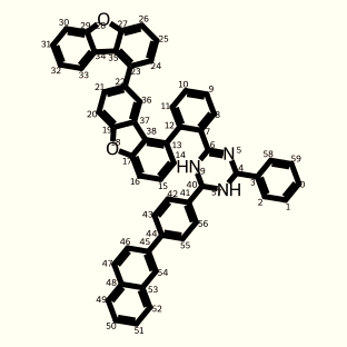 c1ccc(C2N=C(c3ccccc3-c3cccc4oc5ccc(-c6cccc7oc8ccccc8c67)cc5c34)NC(c3ccc(-c4ccc5ccccc5c4)cc3)N2)cc1